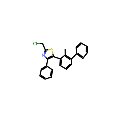 Cc1c(-c2ccccc2)cccc1-c1sc(CCl)nc1-c1ccccc1